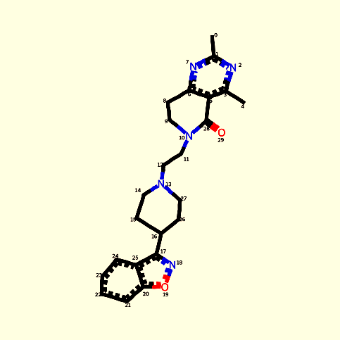 Cc1nc(C)c2c(n1)CCN(CCN1CCC(c3noc4ccccc34)CC1)C2=O